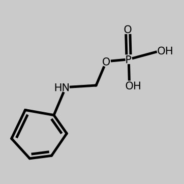 O=P(O)(O)OCNc1ccccc1